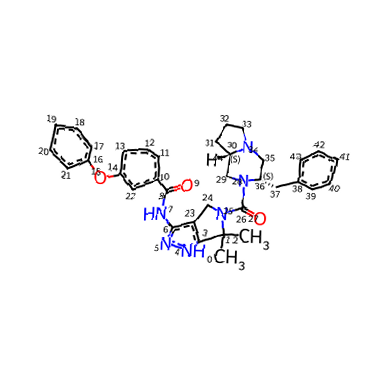 CC1(C)c2[nH]nc(NC(=O)c3cccc(Oc4ccccc4)c3)c2CN1C(=O)N1C[C@@H]2CCCN2C[C@@H]1Cc1ccccc1